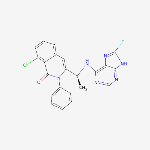 C[C@H](Nc1ncnc2[nH]c(F)nc12)c1cc2cccc(Cl)c2c(=O)n1-c1ccccc1